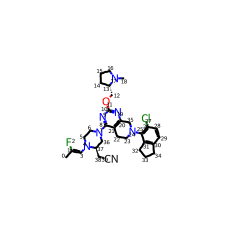 CC(F)=CN1CCN(c2nc(OC[C@@H]3CCCN3C)nc3c2CCN(c2c(Cl)ccc4c2CCC4)C3)C[C@H]1CC#N